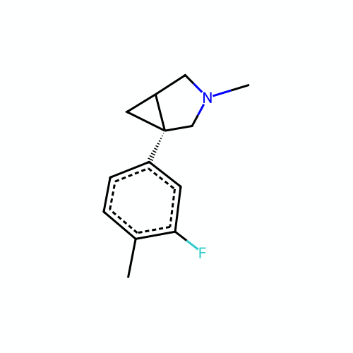 Cc1ccc([C@]23CC2CN(C)C3)cc1F